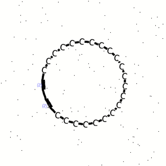 [C]1=C\C=C/CCCCCCCCCCCCCCCCCCCCCC/1